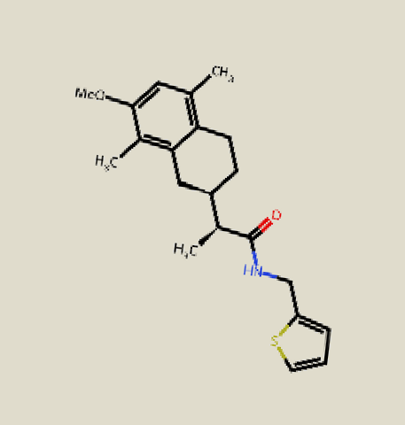 COc1cc(C)c2c(c1C)C[C@H]([C@H](C)C(=O)NCc1cccs1)CC2